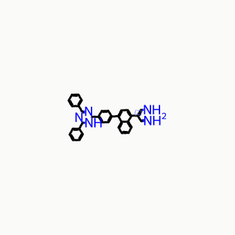 N=C/C(=C\N)c1ccc(-c2ccc(C3N=C(c4ccccc4)N=C(c4ccccc4)N3)cc2)c2ccccc12